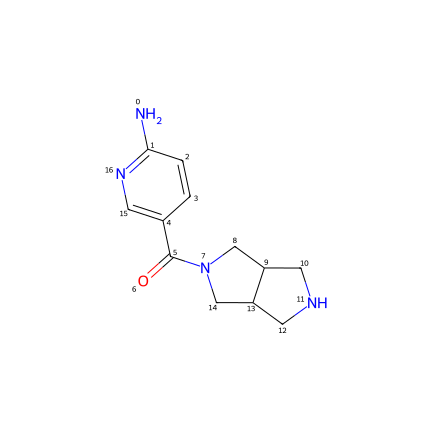 Nc1ccc(C(=O)N2CC3CNCC3C2)cn1